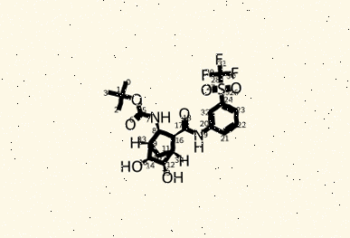 CC(C)(C)OC(=O)N[C@@H]1[C@@H]2C[C@@H]([C@@H](O)[C@H]2O)[C@@H]1C(=O)Nc1cccc(S(=O)(=O)C(F)(F)F)c1